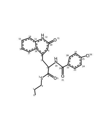 CCCSC(=O)C(Cc1cc(=O)[nH]c2ccccc12)NC(=O)c1ccc(Cl)cc1